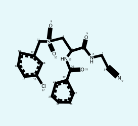 N#CCNC(=O)C(CS(=O)(=O)Cc1cccc(Cl)c1)NC(=O)c1ccccc1